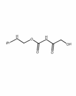 CC(C)NCOC(=O)NC(=O)CO